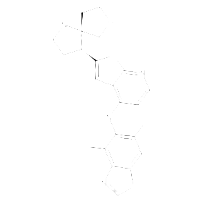 Fc1cc2scnc2c(F)c1Nc1ccnc2sc([C@H]3CCN[C@@]34CCOC4)cc12